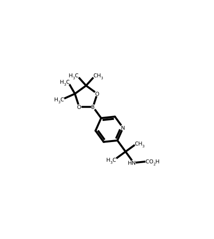 CC(C)(NC(=O)O)c1ccc(B2OC(C)(C)C(C)(C)O2)cn1